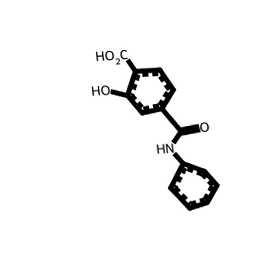 O=C(Nc1ccccc1)c1ccc(C(=O)O)c(O)c1